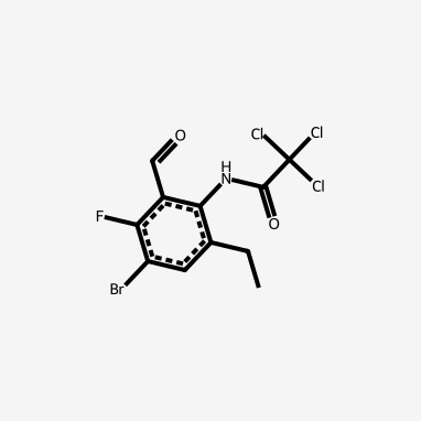 CCc1cc(Br)c(F)c(C=O)c1NC(=O)C(Cl)(Cl)Cl